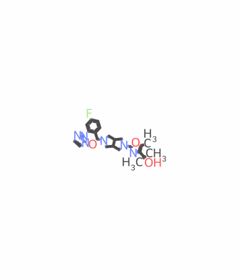 Cc1oc(N2CC3CN(C(=O)c4ccc(F)cc4-n4nccn4)CC3C2)nc1C(C)(C)O